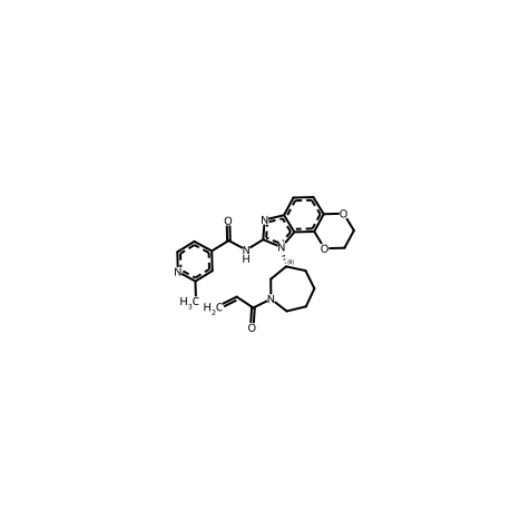 C=CC(=O)N1CCCC[C@@H](n2c(NC(=O)c3ccnc(C)c3)nc3ccc4c(c32)OCCO4)C1